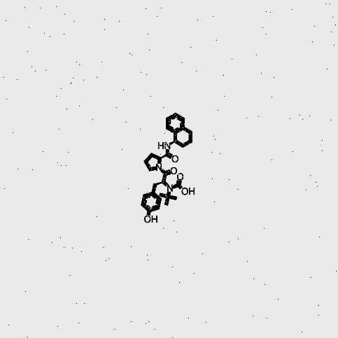 CC(C)(C)N(C(=O)O)[C@@H](Cc1ccc(O)cc1)C(=O)N1CCC[C@H]1C(=O)N[C@@H]1CCCc2ccccc21